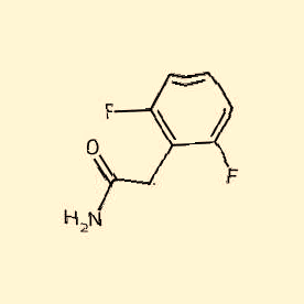 NC(=O)[CH]c1c(F)cccc1F